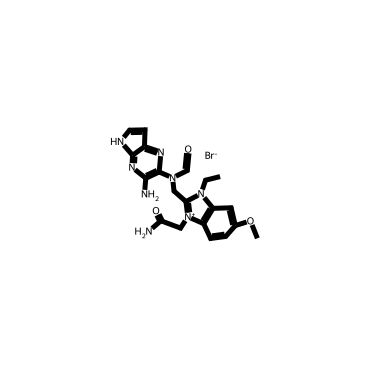 CCn1c(CN(C=O)c2nc3cc[nH]c3nc2N)[n+](CC(N)=O)c2ccc(OC)cc21.[Br-]